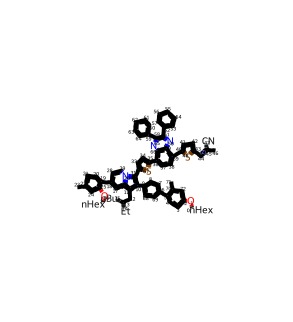 CCCCCCOc1ccc(-c2ccc(-c3c(CC(CC)CCCC)c4cc(-c5ccc(C)cc5OCCCCCC)ccn4c3-c3ccc(-c4ccc(-c5ccc(/C=C(/C)C#N)s5)c5nc(-c6ccccc6)c(-c6ccccc6)nc45)s3)cc2)c(C)c1